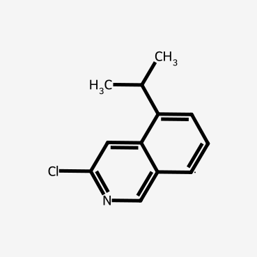 CC(C)c1cc[c]c2cnc(Cl)cc12